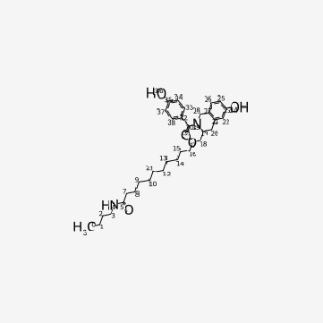 CCCCNC(=O)CCCCCCCCCCOCC1Cc2cc(O)ccc2CN1C(=O)c1ccc(O)cc1